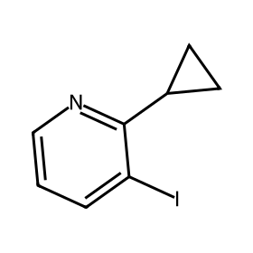 Ic1cccnc1C1CC1